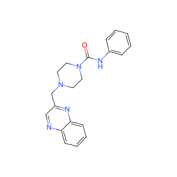 O=C(Nc1ccccc1)N1CCN(Cc2cnc3ccccc3n2)CC1